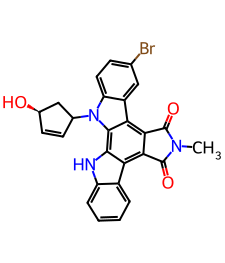 CN1C(=O)c2c(c3c4cc(Br)ccc4n(C4C=C[C@@H](O)C4)c3c3[nH]c4ccccc4c23)C1=O